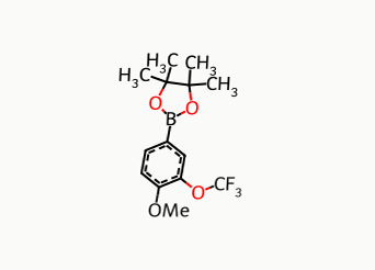 COc1ccc(B2OC(C)(C)C(C)(C)O2)cc1OC(F)(F)F